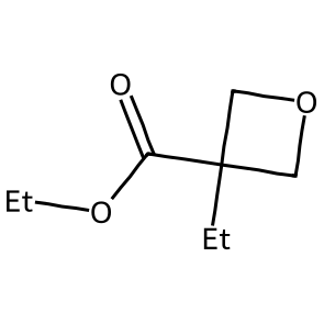 CCOC(=O)C1(CC)COC1